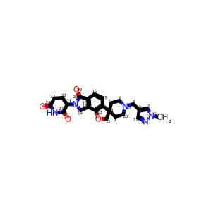 Cn1cc(CN2CCC3(CC2)COc2c3ccc3c2CN(C2CCC(=O)NC2=O)C3=O)cn1